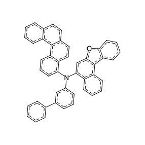 c1ccc(-c2cccc(N(c3cccc4c3ccc3ccc5ccccc5c34)c3cc4oc5ccccc5c4c4ccccc34)c2)cc1